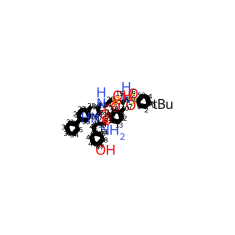 CC(C)(C)c1ccc(S(=O)(=O)N[C@H](Cc2ccccc2)P(=O)(O)CC(=O)N[C@@H](Cc2ccc(-c3ccccc3)cc2)C(=O)NC(Cc2ccc(O)cc2)C(N)=O)cc1